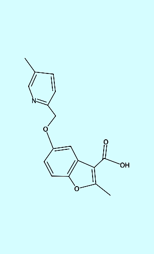 Cc1ccc(COc2ccc3oc(C)c(C(=O)O)c3c2)nc1